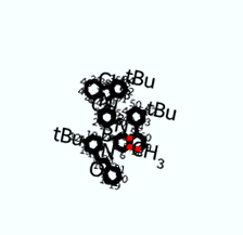 Cc1cc2c3c(c1)-n1c4c(cc(C(C)(C)C)cc4c4oc5ccccc5c41)B3c1ccc(N3c4ccc(C(C)(C)C)cc4C4(C)CCCCC34C)cc1N2c1ccc(C(C)(C)C)cc1-c1ccccc1